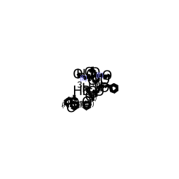 [3H]BSO[C@@H](CC(=O)O[C@H](C[C@@H]1C/C(=C\C(=O)OC)C(OC(C)=O)[C@](O)(C(C)(C)/C=C/C=O)O1)[C@@H](C)OCc1ccccc1)C[C@@H]1CCC[C@H](C[C@@H]2CCO[C@@]3(C[C@H](C)CC[C@H]3C(C)C)O2)O1